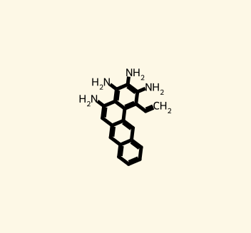 C=Cc1c(N)c(N)c(N)c2c(N)cc3cc4ccccc4cc3c12